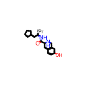 CC(C)C(CC1CCCC1)NC(=O)C1Cc2ccc(O)cc2CN1